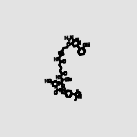 Cc1ncsc1-c1ccc(CNC(=O)[C@@H]2C[C@@H](O)CN2C(=O)[C@@H](NC(=O)CCCC(=O)NC23CC(CCOc4cc(-c5ccccc5O)nnc4N)(C2)C3)C(C)(C)C)cc1